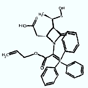 C=CCOC(=O)C(N1C(=O)[C@H]([C@@H](C)SO)[C@H]1CC(=O)O)=P(c1ccccc1)(c1ccccc1)c1ccccc1